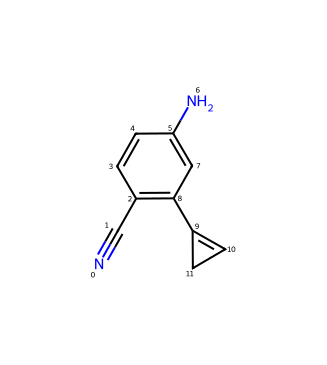 N#Cc1ccc(N)cc1C1=CC1